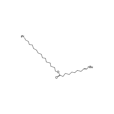 CCCCC=CCCCCCCCC(=O)OCCCCCCCCCCCCCCCC(C)C